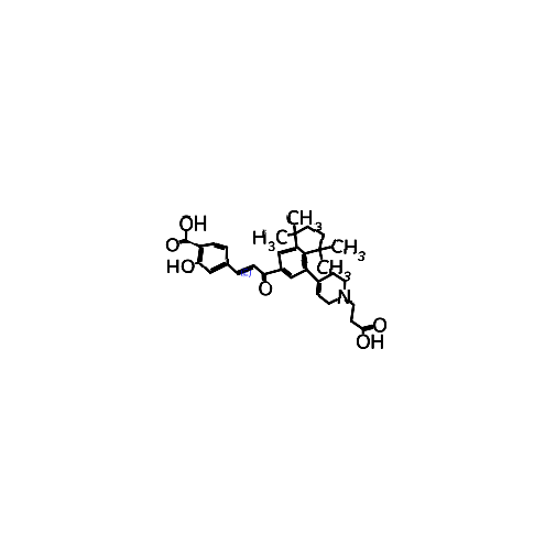 CC1(C)CCC(C)(C)c2c(C3=CCN(CCC(=O)O)CC3)cc(C(=O)/C=C/c3ccc(C(=O)O)c(O)c3)cc21